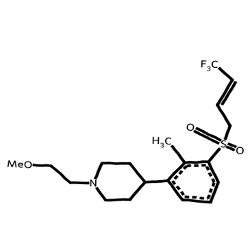 COCCN1CCC(c2cccc(S(=O)(=O)CC=CC(F)(F)F)c2C)CC1